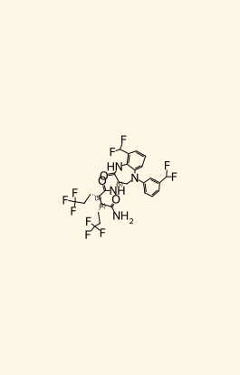 NC(=O)[C@H](CCC(F)(F)F)[C@H](CCC(F)(F)F)C(=O)N[C@H]1CN(c2cccc(C(F)F)c2)c2cccc(C(F)F)c2NC1=O